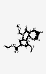 CCOC(=O)c1cc(OC)c2c3ncccc3c(=O)n(COC)c2c1